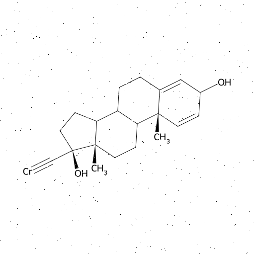 C[C@]12C=CC(O)C=C1CCC1C2CC[C@@]2(C)C1CC[C@@]2(O)[C]#[Cr]